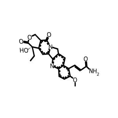 CC[C@@]1(O)C(=O)OCc2c1cc1n(c2=O)Cc2cc3c(C=CC(N)=O)c(OC)ccc3nc2-1